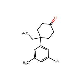 CCCc1cc(C)cc(C2(COC(C)=O)CCC(=O)CC2)c1